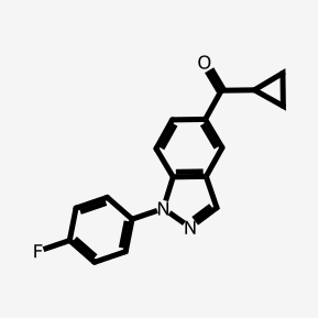 O=C(c1ccc2c(cnn2-c2ccc(F)cc2)c1)C1CC1